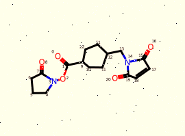 O=C(ON1CCCC1=O)C1CCC(CN2C(=O)C=CC2=O)CC1